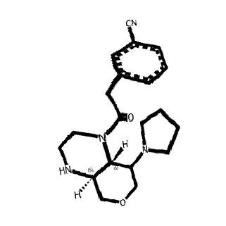 N#Cc1cccc(CC(=O)N2CCN[C@@H]3COCC(N4CCCC4)[C@H]32)c1